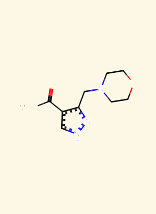 COC(=O)c1c[nH]nc1CN1CCOCC1